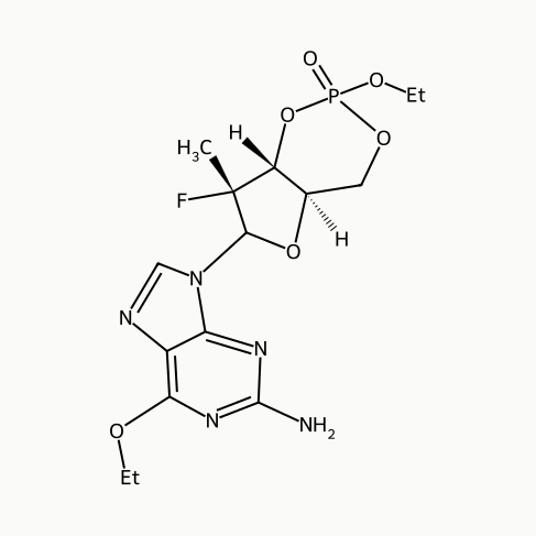 CCOc1nc(N)nc2c1ncn2C1O[C@@H]2COP(=O)(OCC)O[C@H]2[C@@]1(C)F